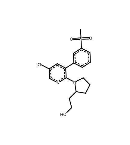 CS(=O)(=O)c1cccc(-c2cc(Cl)cnc2N2CCCC2CCO)c1